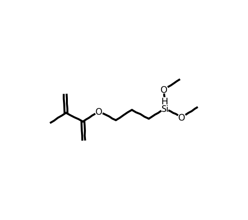 C=C(C)C(=C)OCCC[SiH](OC)OC